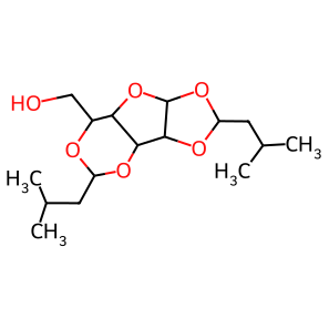 CC(C)CC1OC2OC3C(CO)OC(CC(C)C)OC3C2O1